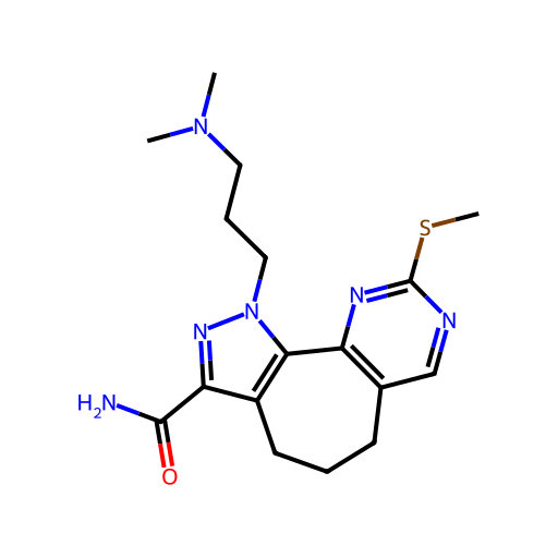 CSc1ncc2c(n1)-c1c(c(C(N)=O)nn1CCCN(C)C)CCC2